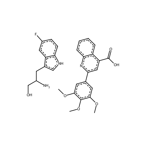 COc1cc(-c2cc(C(=O)O)c3ccccc3n2)cc(OC)c1OC.NC(CO)Cc1c[nH]c2ccc(F)cc12